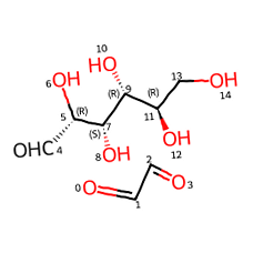 O=CC=O.O=C[C@H](O)[C@@H](O)[C@H](O)[C@H](O)CO